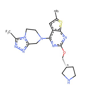 CCCc1cc2c(N3CCn4c(nnc4C(F)(F)F)C3)nc(OC[C@@H]3CCNC3)nc2s1